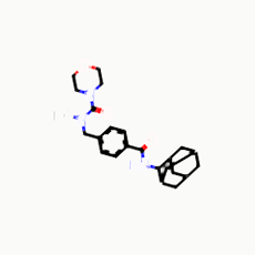 CN(Cc1ccc(C(=O)NC2C3CC4CC(C3)CC2C4)cc1)C(=O)N1CCOCC1